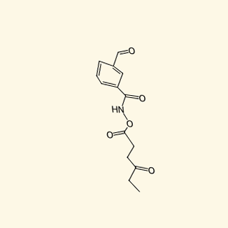 CCC(=O)CCC(=O)ONC(=O)c1cccc(C=O)c1